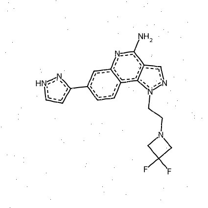 Nc1nc2cc(-c3cc[nH]n3)ccc2c2c1cnn2CCN1CC(F)(F)C1